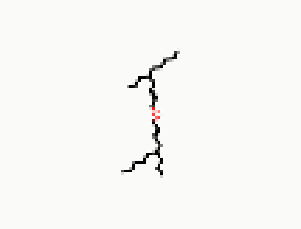 CCCCCC(CC=CCOCC=CCC(CCC)CCCCC)CCC